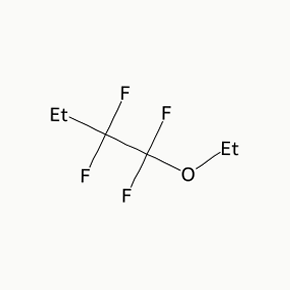 CCOC(F)(F)C(F)(F)CC